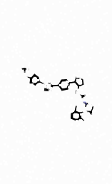 Cc1cccc(C)c1N1C(=O)CS/C1=N\C(=O)NC1=C(c2ccc(-c3ncn(-c4ccc(OC(F)(F)F)cc4)n3)cc2)CCC1